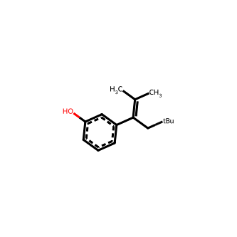 CC(C)=C(CC(C)(C)C)c1cccc(O)c1